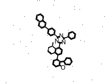 CC1CC=Cc2c(-c3cccc4oc5ccccc5c34)ccc(-c3nc(-c4ccccc4)nc(-c4ccc(-c5ccc6ccccc6c5)cc4)n3)c21